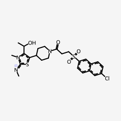 C/N=c1\sc(C2CCN(C(=O)CCS(=O)(=O)c3ccc4cc(Cl)ccc4c3)CC2)c(C(C)O)n1C